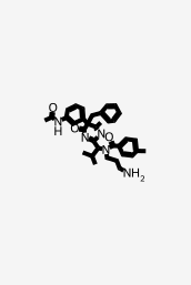 CC(=O)Nc1cccc(C2(Cc3ccccc3)C(=O)N=C(C(C(C)C)N(CCCN)C(=O)c3ccc(C)cc3)N=C2C)c1